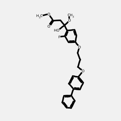 COC(=O)CC(O)(OC)c1ccc(OCCCOc2ccc(-c3ccccc3)cc2)cc1F